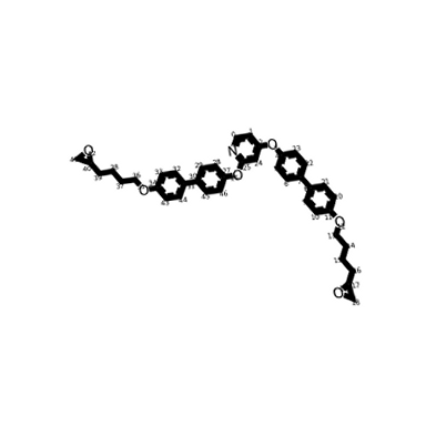 c1cc(Oc2ccc(-c3ccc(OCCCCC4CO4)cc3)cc2)cc(Oc2ccc(-c3ccc(OCCCCC4CO4)cc3)cc2)n1